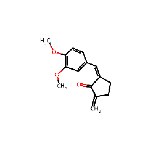 C=C1CCC(=Cc2ccc(OC)c(OC)c2)C1=O